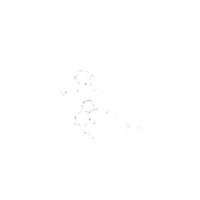 COc1cc(C)cc(C)c1C(C)c1nc2ccc(C#N)cc2n1COCC[Si](C)(C)C